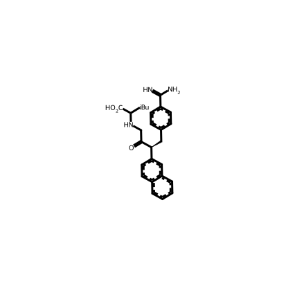 CCC(C)C(NCC(=O)[C@@H](Cc1ccc(C(=N)N)cc1)c1ccc2ccccc2c1)C(=O)O